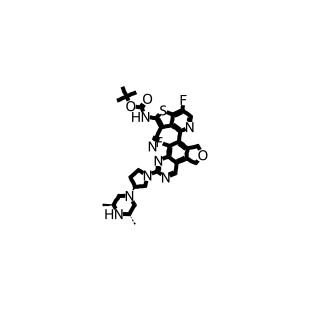 C[C@H]1CN([C@@H]2CCN(c3ncc4c5c(c(-c6ncc(F)c7sc(NC(=O)OC(C)(C)C)c(C#N)c67)c(F)c4n3)COC5)C2)C[C@H](C)N1